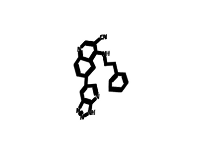 N#Cc1cnc2ccc(-c3cnc4[nH]nnc4c3)cc2c1NCCc1ccccc1